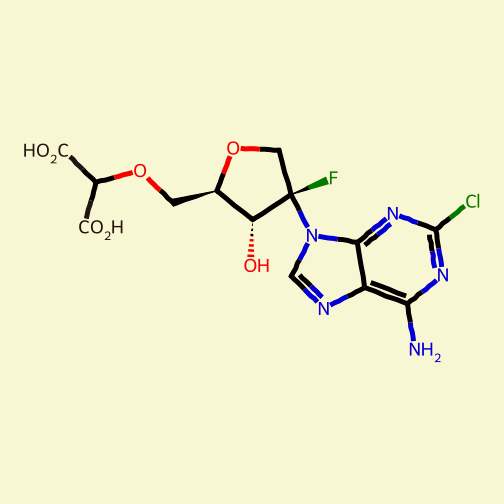 Nc1nc(Cl)nc2c1ncn2[C@@]1(F)CO[C@H](COC(C(=O)O)C(=O)O)[C@H]1O